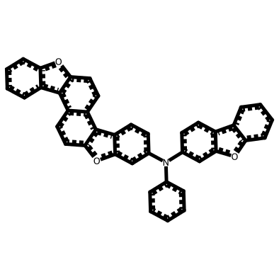 c1ccc(N(c2ccc3c(c2)oc2ccccc23)c2ccc3c(c2)oc2ccc4c(ccc5oc6ccccc6c54)c23)cc1